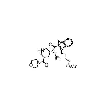 COCCCCn1c(C(=O)N(CC(C)C)C2CNCC(C(=O)N3CCOCC3)C2)nc2ccccc21